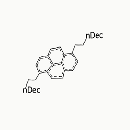 CCCCCCCCCCCCc1ccc2ccc3c(CCCCCCCCCCCC)ccc4ccc1c2c43